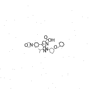 CC(C)c1nn([C@@H]2CCC[C@@H](OCc3ccccc3)C2)c2nc(C(=O)O)cc(-c3ccc(N4CCOCC4)cc3)c12